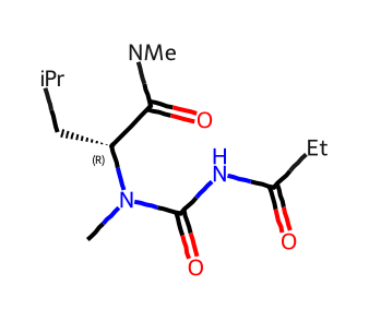 CCC(=O)NC(=O)N(C)[C@H](CC(C)C)C(=O)NC